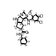 COc1cc(Cl)c(Cl)cc1Nc1ncnc2[nH]c3c(c12)C[C@@H](C(=O)Nc1ccccc1)CC3